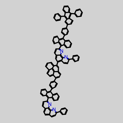 c1ccc(-c2ccc3ccc4ccc(-c5c6ccccc6c(-c6ccc(-c7ccc8cc(-c9cc%10ccc(-c%11c%12ccccc%12c(-c%12ccc(-c%13ccc%14c(-c%15ccccc%15)c%15ccccc%15c(-c%15ccccc%15)c%14c%13)cc%12)c%12ccccc%11%12)nc%10c%10nc(-c%11ccccc%11)ccc9%10)c9cccc%10ccc7c8c%109)cc6)c6ccccc56)nc4c3n2)cc1